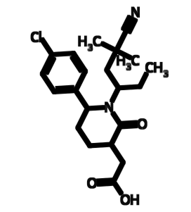 CCC(CC(C)(C)C#N)N1C(=O)C(CC(=O)O)CCC1c1ccc(Cl)cc1